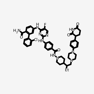 CCC(CN1CCN(c2ccc(C3CCC(=O)NC3=O)cc2)CC1)C1CCN(NC(=O)c2ccc(Nc3ncc(F)c(Nc4ccc(C(N)=O)c(-c5ccccc5Cl)c4)n3)cc2)CC1